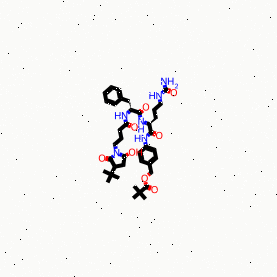 CC(C)(C)C(=O)OCc1ccc(NC(=O)[C@H](CCCNC(N)=O)NC(=O)[C@@H](Cc2ccccc2)NC(=O)CCCN2C(=O)C(C(C)(C)C)CC2O)cc1